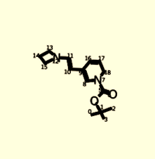 CC(C)(C)OC(=O)N1C=C(C=CN2CCC2)C=CC1